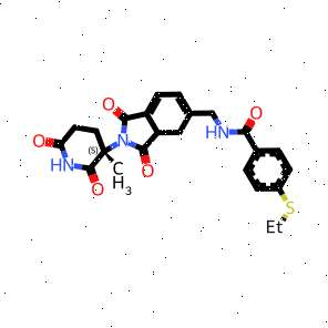 CCSc1ccc(C(=O)NCC2=CC=C3C(=O)N([C@@]4(C)CCC(=O)NC4=O)C(=O)C3C2)cc1